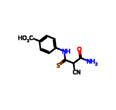 N#CC(C(N)=O)C(=S)Nc1ccc(C(=O)O)cc1